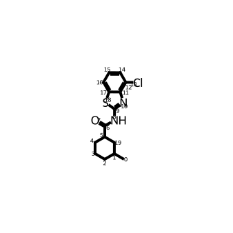 CC1CCCC(C(=O)Nc2nc3c(Cl)cccc3s2)C1